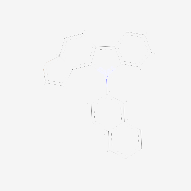 c1ccc2cc(-n3c4ccccc4c4ccc5sccc5c43)ccc2c1